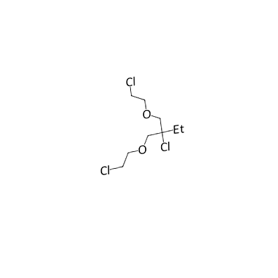 CCC(Cl)(COCCCl)COCCCl